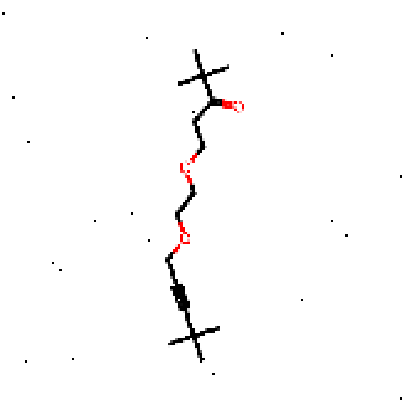 CC(C)(C)C#CCOCCOCCC(=O)C(C)(C)C